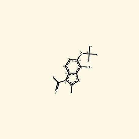 CC(=O)n1c(C)cc2c(Cl)c(OC(C)(C)C)ccc21